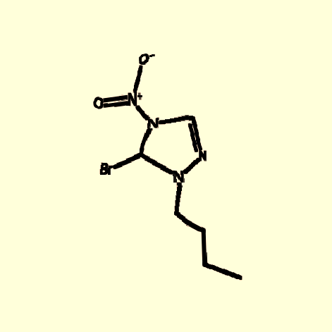 CCCCN1N=CN([N+](=O)[O-])C1Br